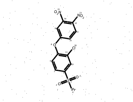 CC(C)S(=O)(=O)c1ccc(Oc2ccc([N+](=O)[O-])c([N+](=O)[O-])c2)c(Cl)c1